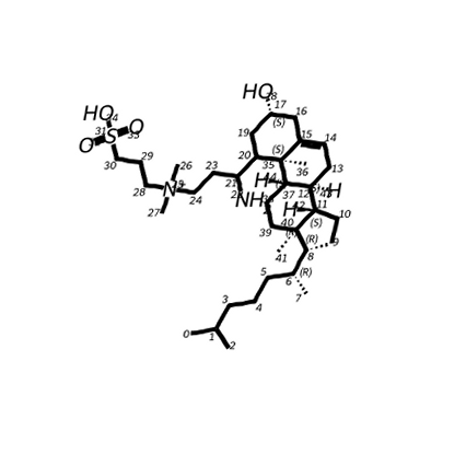 CC(C)CCC[C@@H](C)[C@H]1CC[C@H]2[C@@H]3CC=C4C[C@@H](O)CC(C(N)CC[N+](C)(C)CCCS(=O)(=O)O)[C@]4(C)[C@H]3CC[C@]12C